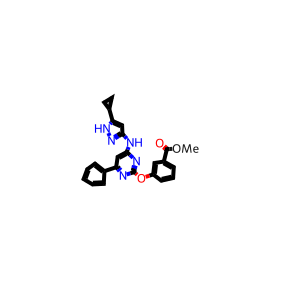 COC(=O)c1cccc(Oc2nc(Nc3cc(C4CC4)[nH]n3)cc(-c3ccccc3)n2)c1